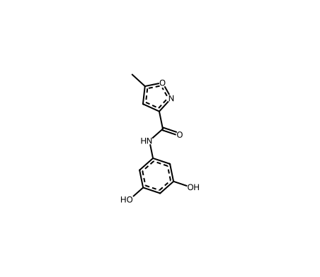 Cc1cc(C(=O)Nc2cc(O)cc(O)c2)no1